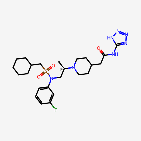 C[C@H](CN(c1cccc(F)c1)S(=O)(=O)CC1CCCCC1)N1CCC(CC(=O)Nc2nnn[nH]2)CC1